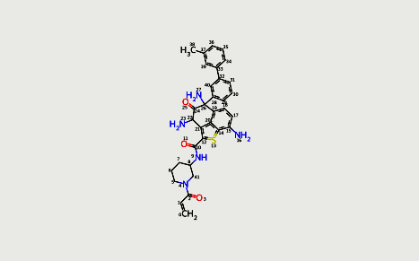 C=CC(=O)N1CCCC(NC(=O)c2sc3c(N)ccc4c3c2C(N)C(=O)C4(N)c2cccc(-c3cccc(C)c3)c2)C1